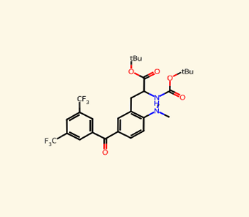 CN(C)c1ccc(C(=O)c2cc(C(F)(F)F)cc(C(F)(F)F)c2)cc1CC(NC(=O)OC(C)(C)C)C(=O)OC(C)(C)C